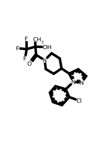 CC(O)(C(=O)N1CCC(c2ccnn2-c2ccccc2Cl)CC1)C(F)(F)F